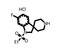 CCS(=O)(=O)N1CC2(CCNCC2)c2ccc(F)cc21.Cl